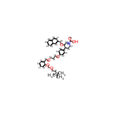 C[Si](C)(C)CCOCOc1ccccc1COCCCOc1ccc(C2CCN(C(=O)O)CC2OCc2ccc3ccccc3c2)cc1